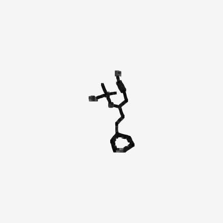 CCC#CCC(CCc1ccccc1)O[Si](C)(C)C(C)(C)C